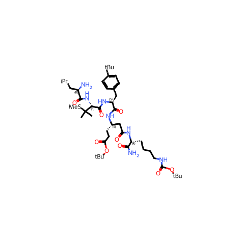 CSC(C)(C)[C@H](NC(=O)[C@H](N)CC(C)C)C(=O)N[C@@H](Cc1ccc(C(C)(C)C)cc1)C(=O)N[C@@H](CCC(=O)OC(C)(C)C)CC(=O)N[C@H](CCCCNC(=O)OC(C)(C)C)C(N)=O